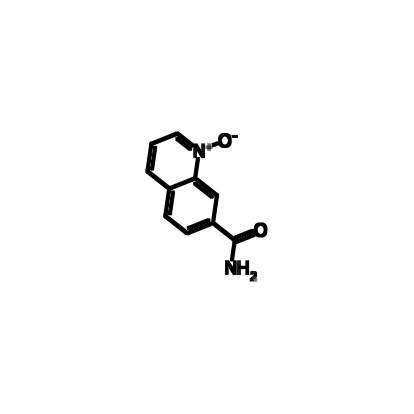 NC(=O)c1ccc2ccc[n+]([O-])c2c1